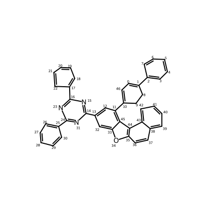 C1=C(c2ccccc2)CCC(c2cc(-c3nc(-c4ccccc4)nc(-c4ccccc4)n3)cc3oc4ccc5ccccc5c4c23)=C1